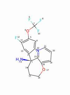 N[C@]1(c2ccc(OC(F)(F)F)c(F)c2)CCCOc2cccnc21